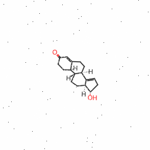 O=C1C=C2CC[C@H]3C4=CC[C@H](O)[C@H]4CC[C@@H]3[C@H]2CC1